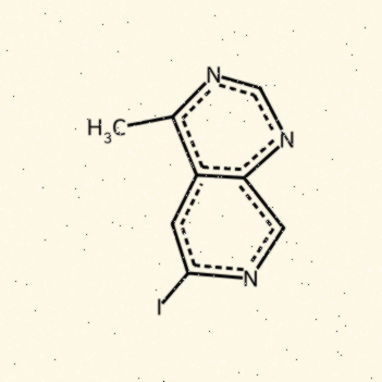 Cc1ncnc2cnc(I)cc12